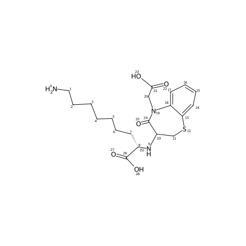 NCCCCCCC[C@H](NC1CSc2ccccc2N(CC(=O)O)C1=O)C(=O)O